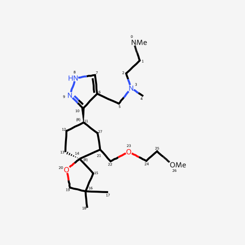 CNCCN(C)Cc1c[nH]nc1[C@@H]1CC[C@@]2(CC(C)(C)CO2)C(COCCOC)C1